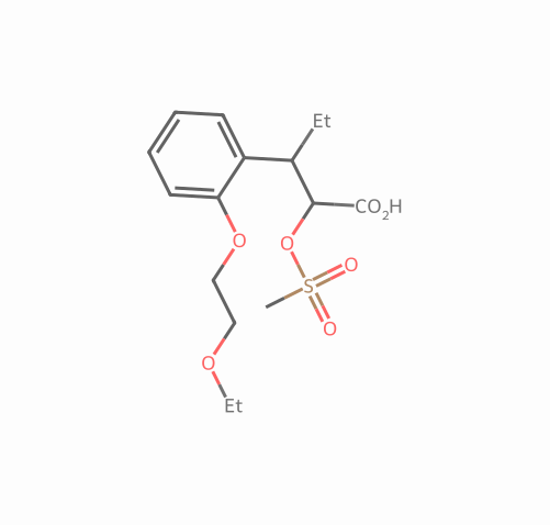 CCOCCOc1ccccc1C(CC)C(OS(C)(=O)=O)C(=O)O